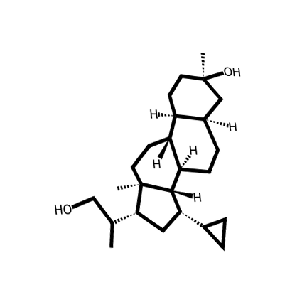 CC(CO)[C@H]1C[C@@H](C2CC2)[C@H]2[C@@H]3CC[C@@H]4C[C@](C)(O)CC[C@@H]4[C@H]3CC[C@@]21C